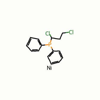 ClCCC(Cl)P(c1ccccc1)c1ccccc1.[Ni]